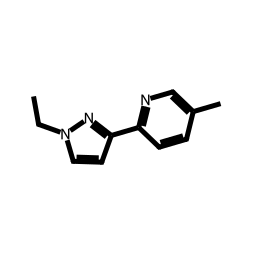 CCn1ccc(-c2ccc(C)cn2)n1